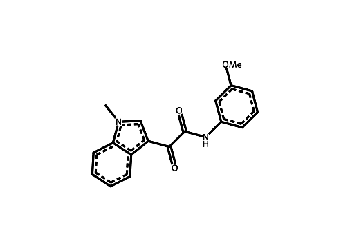 COc1cccc(NC(=O)C(=O)c2cn(C)c3ccccc23)c1